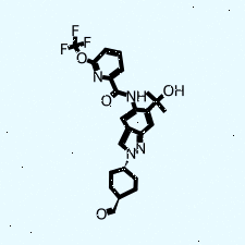 CC(C)(O)c1cc2nn([C@H]3CC[C@H](C=O)CC3)cc2cc1NC(=O)c1cccc(OC(F)(F)F)n1